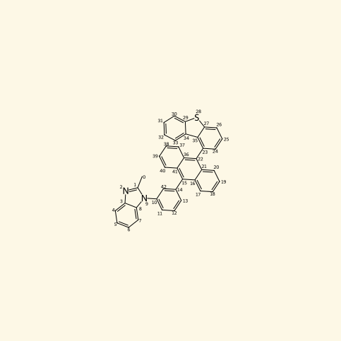 Cc1nc2ccccc2n1-c1cccc(-c2c3ccccc3c(-c3cccc4sc5ccccc5c34)c3ccccc23)c1